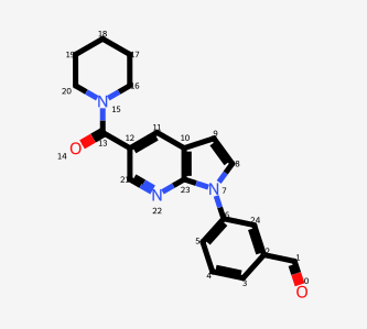 O=Cc1cccc(-n2ccc3cc(C(=O)N4CCCCC4)cnc32)c1